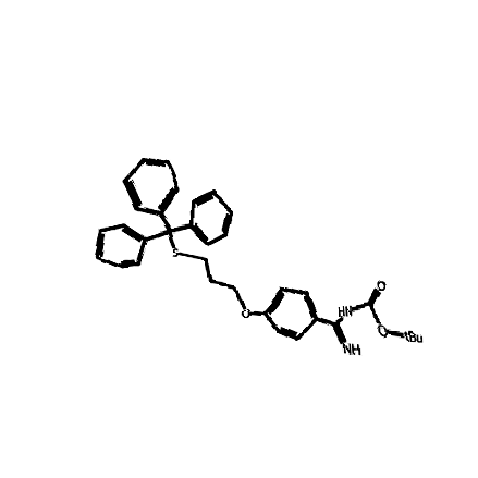 CC(C)(C)OC(=O)NC(=N)c1ccc(OCCCSC(c2ccccc2)(c2ccccc2)c2ccccc2)cc1